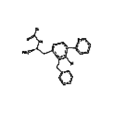 CCC(=O)N[C@@H](Cc1ccc(-c2ccccn2)c(S)c1Cc1ccccc1)C(=O)O